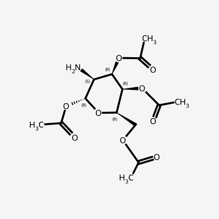 CC(=O)OC[C@H]1O[C@H](OC(C)=O)[C@@H](N)[C@@H](OC(C)=O)[C@H]1OC(C)=O